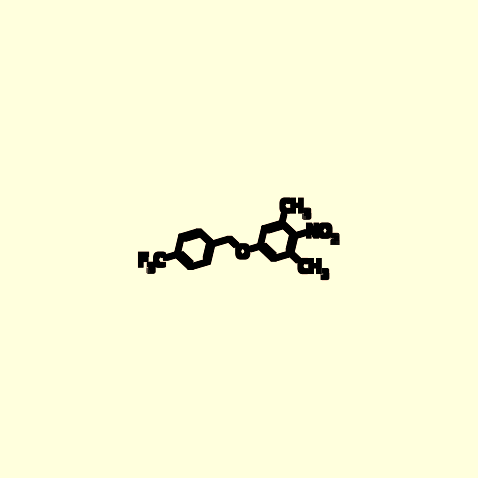 Cc1cc(OCc2ccc(C(F)(F)F)cc2)cc(C)c1[N+](=O)[O-]